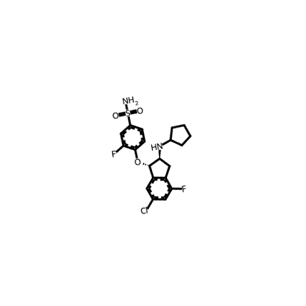 NS(=O)(=O)c1ccc(O[C@H]2c3cc(Cl)cc(F)c3C[C@@H]2NC2CCCC2)c(F)c1